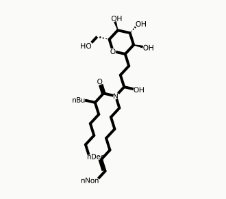 CCCCCCCCCC=CCCCCCN(C(=O)C(CCCC)CCCCCCCCCCCCCC)C(O)CCC1O[C@H](CO)[C@@H](O)[C@H](O)[C@H]1O